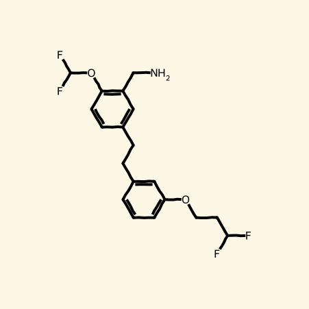 NCc1cc(CCc2cccc(OCCC(F)F)c2)ccc1OC(F)F